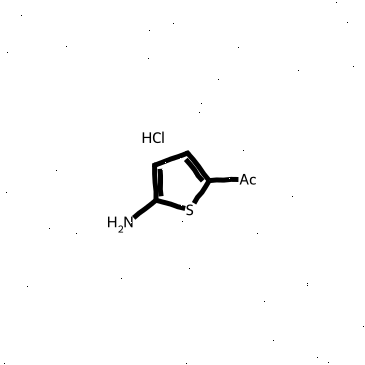 CC(=O)c1ccc(N)s1.Cl